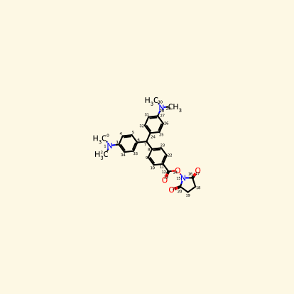 CN(C)c1ccc(C(c2ccc(C(=O)ON3C(=O)CCC3=O)cc2)c2ccc(N(C)C)cc2)cc1